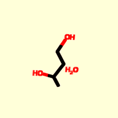 CC(O)CCO.O